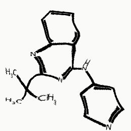 CC(C)(C)c1nc(Nc2ccncc2)c2ccccc2n1